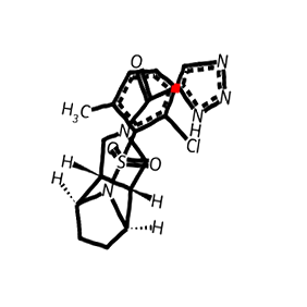 Cc1cccc(Cl)c1S(=O)(=O)N1[C@@H]2CC[C@H]1[C@@H]1CN(C(=O)c3cnn[nH]3)C[C@@H]12